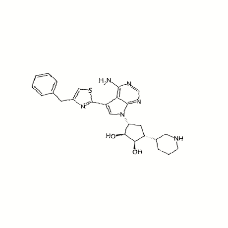 Nc1ncnc2c1c(-c1nc(Cc3ccccc3)cs1)cn2[C@@H]1C[C@H](C2CCCNC2)[C@@H](O)[C@H]1O